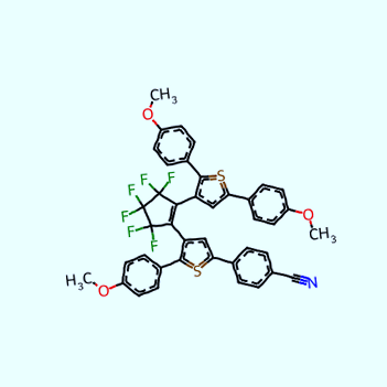 COc1ccc(-c2cc(C3=C(c4cc(-c5ccc(C#N)cc5)sc4-c4ccc(OC)cc4)C(F)(F)C(F)(F)C3(F)F)c(-c3ccc(OC)cc3)s2)cc1